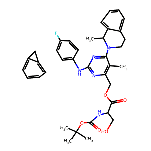 Cc1c(COC(=O)C(CO)NC(=O)OC(C)(C)C)nc(Nc2ccc(F)cc2)nc1N1CCc2ccccc2C1C.c1ccc2c(c1)C2